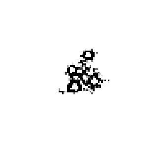 COc1ccc([C@]23C[C@@]4(O)C(=O)N(C)[C@](C)(O)C(=O)N4[C@H]2N(S(=O)(=O)c2ccccc2)c2ccccc23)cc1